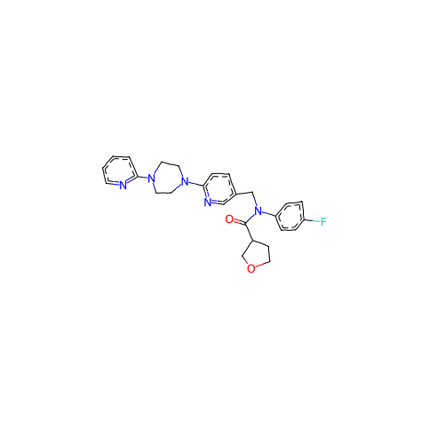 O=C(C1CCOC1)N(Cc1ccc(N2CCN(c3ccccn3)CC2)nc1)c1ccc(F)cc1